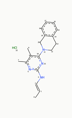 CC=CNc1nc(C)c(C)c(N2CCc3ccccc3C2)n1.Cl